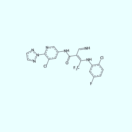 N=C/C(C(=O)Nc1cnc(-n2nccn2)c(Cl)c1)=C(\Nc1cc(F)ccc1Cl)C(F)(F)F